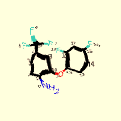 Nc1ccc(C(F)(F)F)cc1Oc1ccc(F)cc1F